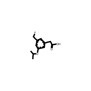 CC(C)Oc1cc(CF)cc(CC(=O)O)c1